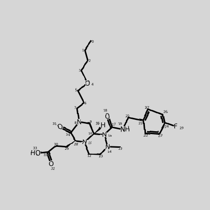 CCCCOCCCN1C[C@H]2N(CCN(C)N2C(=O)NCc2ccc(F)cc2)[C@@H](CCC(=O)O)C1=O